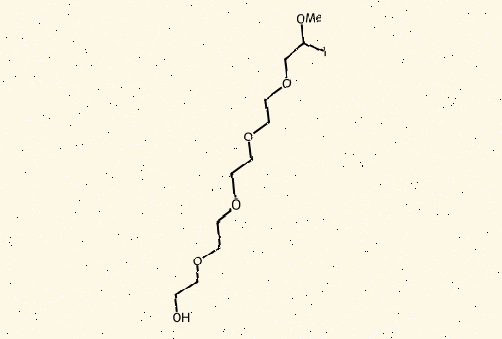 COC(I)COCCOCCOCCOCCO